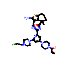 C=CC(=O)N1CCN(c2cc(-c3noc(C4(C)CCCc5sc(N)c(C#N)c54)n3)nc(N3CCN(CCF)CC3)c2)CC1